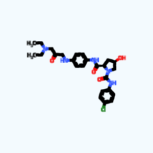 CCN(CC)CC(=O)CNc1ccc(NC(=O)[C@H]2C[C@@H](O)CN2C(=O)Nc2ccc(Cl)cc2)cc1